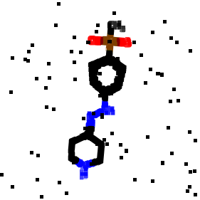 CS(=O)(=O)c1ccc(NN=C2CCNCC2)cc1